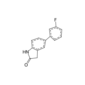 O=C1Cc2cc(-c3cccc(F)c3)ccc2N1